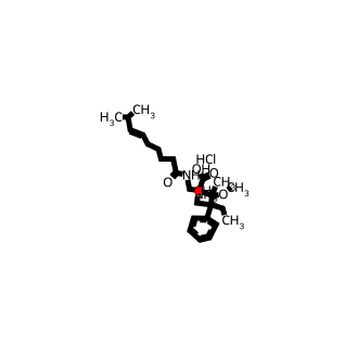 CCC(CC)(c1ccccc1)C(C)(OC)C(N)(CNC(=O)CCCCC=CC(C)C)C(=O)O.Cl